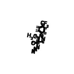 Cc1c(C(=O)N=[N+]=[N-])cnn1-c1ccc(C(F)(F)F)cc1